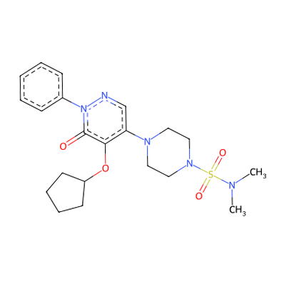 CN(C)S(=O)(=O)N1CCN(c2cnn(-c3ccccc3)c(=O)c2OC2CCCC2)CC1